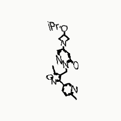 Cc1ccc(-c2noc(C)c2Cn2ncc(N3CC(OC(C)C)C3)cc2=O)cn1